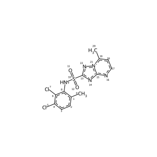 Cc1ccc(Cl)c(Cl)c1NS(=O)(=O)c1nc2nccc(C)n2n1